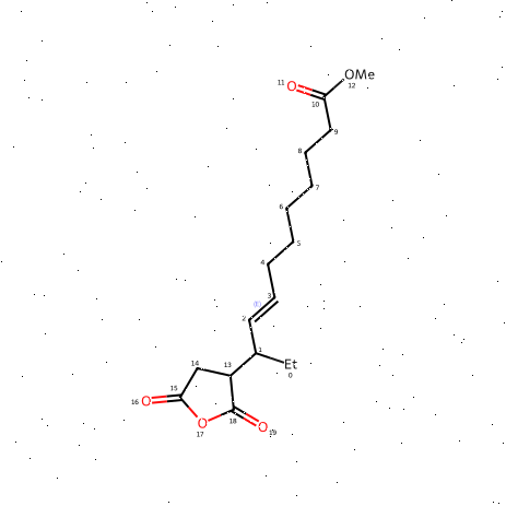 CCC(/C=C/CCCCCCC(=O)OC)C1CC(=O)OC1=O